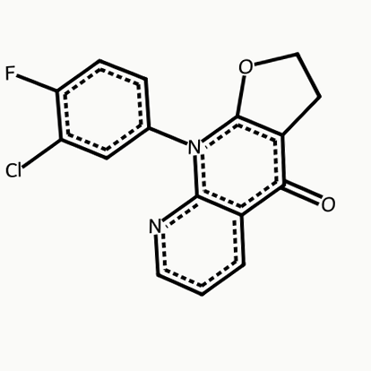 O=c1c2c(n(-c3ccc(F)c(Cl)c3)c3ncccc13)OCC2